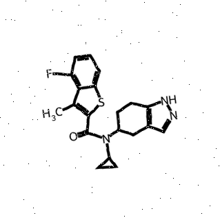 Cc1c(C(=O)N(C2CC2)C2CCc3[nH]ncc3C2)sc2cccc(F)c12